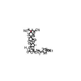 CC1COC(=O)O1.CCO.CN1CCCC1=O.N#CCCCCC#N.NCCN1CCNCC1.O=C1CCCN1.O=S1(=O)CCCC1